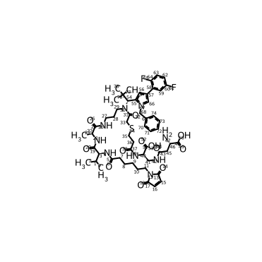 CC(C)[C@H](NC(=O)CCCCCN1C(=O)C=CC1=O)C(=O)N[C@@H](C)C(=O)NCCCN(C(=O)CSCCC(=O)N[C@H](CNC(=O)C[C@H](N)C(=O)O)C(=O)O)[C@@H](c1cc(-c2cc(F)ccc2F)cn1Cc1ccccc1)C(C)(C)C